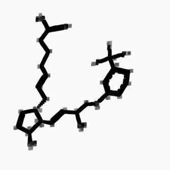 O=C(O)CCCC=CC[C@H]1C=C[C@H](O)[C@@H]1C=CC(O)COc1cccc(C(F)(F)F)c1